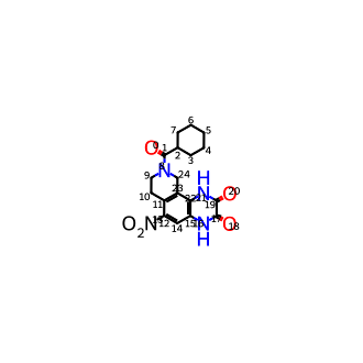 O=C(C1CCCCC1)N1CCc2c([N+](=O)[O-])cc3[nH]c(=O)c(=O)[nH]c3c2C1